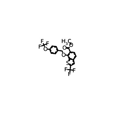 COC(=O)c1ccc2cc(C(F)(F)F)sc2c1OCc1ccc(OC(F)(F)F)cc1